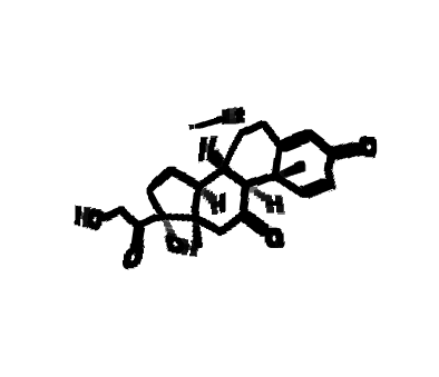 C[C@]12C=CC(=O)C=C1CC[C@@H]1[C@@H]2C(=O)C[C@@]2(C)[C@H]1CC[C@]2(O)C(=O)CO.[CH2]CC